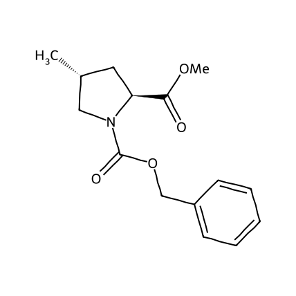 COC(=O)[C@@H]1C[C@@H](C)CN1C(=O)OCc1ccccc1